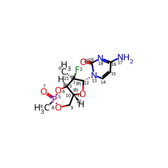 C[C@@]1(F)[C@@H]2OP(C)(=O)OC[C@H]2O[C@H]1n1ccc(N)nc1=O